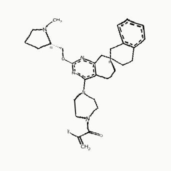 C=C(F)C(=O)N1CCN(c2nc(OC[C@@H]3CCCN3C)nc3c2CC[C@@]2(CCc4ccccc4C2)C3)CC1